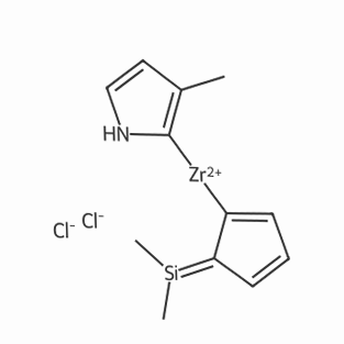 Cc1cc[nH][c]1[Zr+2][C]1=CC=CC1=[Si](C)C.[Cl-].[Cl-]